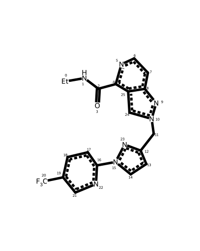 CCNC(=O)c1nccc2nn(Cc3ccn(-c4ccc(C(F)(F)F)cn4)n3)cc12